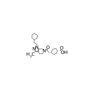 Cc1nn(CCC2CCCCC2)c2c1CCN(C(=O)C[C@H]1CC[C@@H](C(=O)O)CC1)C2